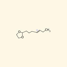 CC/C=C/CCCC1OCCO1